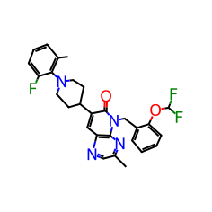 Cc1cnc2cc(C3CCN(c4c(C)cccc4F)CC3)c(=O)n(Cc3ccccc3OC(F)F)c2n1